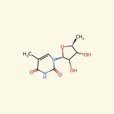 Cc1cn([C@H]2O[C@@H](C)C(O)C2O)c(=O)[nH]c1=O